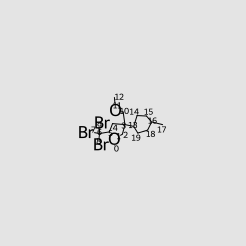 COCC(CCC(Br)(Br)Br)(COC)C1CCC(C)CC1